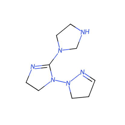 C1=NN(N2CCN=C2N2CCNC2)CC1